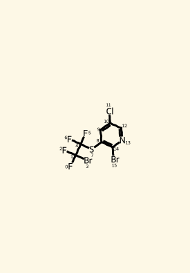 FC(F)(Br)C(F)(F)Sc1cc(Cl)cnc1Br